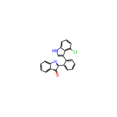 O=C1C(c2ccccc2-c2c[nH]c3cccc(Cl)c23)=Nc2ccccc21